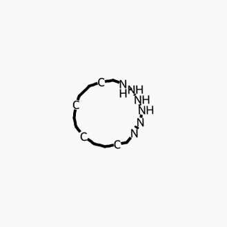 C1CCCCCCNNNNN=NCCCCC1